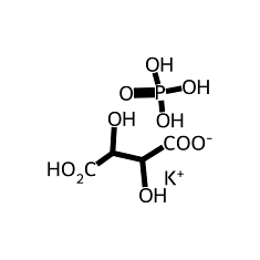 O=C([O-])C(O)C(O)C(=O)O.O=P(O)(O)O.[K+]